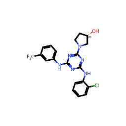 O[C@H]1CCN(c2nc(Nc3cccc(C(F)(F)F)c3)nc(Nc3ccccc3Cl)n2)C1